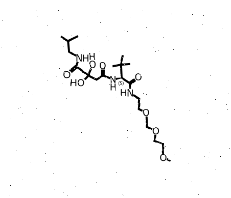 COCCOCOCCNC(=O)[C@@H](NC(=O)CC(O)(O)C(=O)NCC(C)C)C(C)(C)C